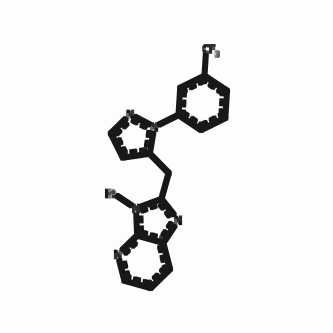 CCn1c(Cc2ccnn2-c2cccc(C(F)(F)F)c2)nc2cccnc21